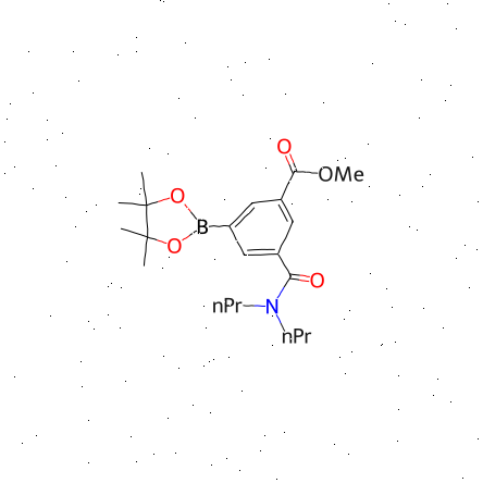 CCCN(CCC)C(=O)c1cc(B2OC(C)(C)C(C)(C)O2)cc(C(=O)OC)c1